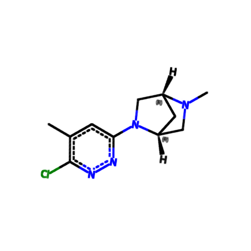 Cc1cc(N2C[C@H]3C[C@@H]2CN3C)nnc1Cl